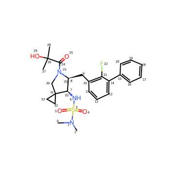 CN(C)S(=O)(=O)N[C@@H]1[C@H](Cc2cccc(-c3ccccc3)c2F)N(C(=O)C(C)(C)O)CC12CC2